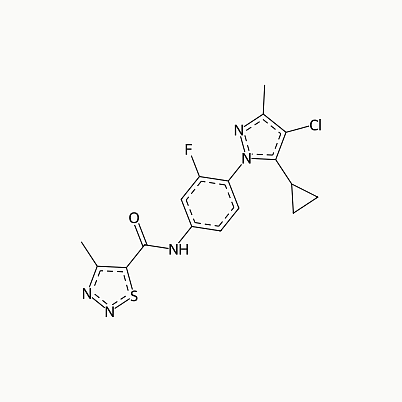 Cc1nnsc1C(=O)Nc1ccc(-n2nc(C)c(Cl)c2C2CC2)c(F)c1